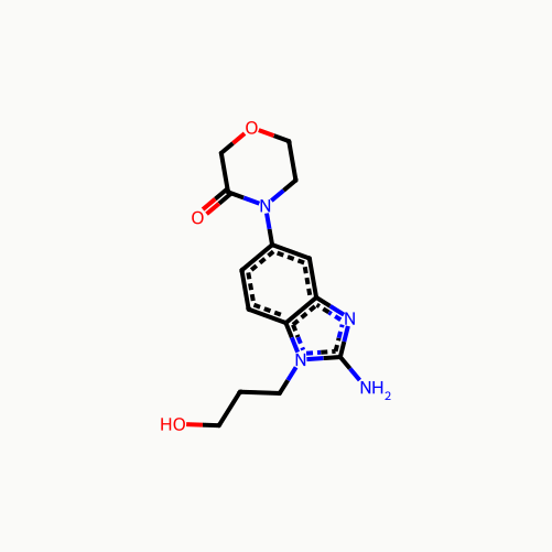 Nc1nc2cc(N3CCOCC3=O)ccc2n1CCCO